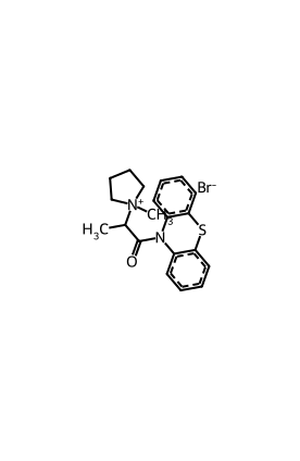 CC(C(=O)N1c2ccccc2Sc2ccccc21)[N+]1(C)CCCC1.[Br-]